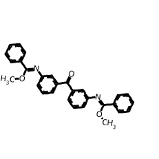 CO/C(=N\c1cccc(C(=O)c2cccc(/N=C(\OC)c3ccccc3)c2)c1)c1ccccc1